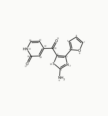 Nc1nc(-c2ccco2)c(C(=O)c2cc[nH]c(=O)c2)s1